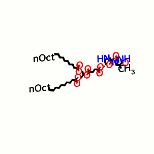 CCCCCCCC/C=C\CCCCCCCC(=O)OCC(COC(=O)CCCCCCC/C=C\CCCCCCCC)OC(=O)CCC(=O)OC[C@@H]1CNC[C@H](n2cc(C)c(=O)[nH]c2=O)O1